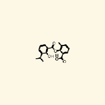 Cc1cccc(C(=O)O)c1OC(=O)c1cccc(C(C)C)c1O